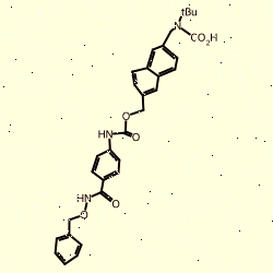 CC(C)(C)N(Cc1ccc2cc(COC(=O)Nc3ccc(C(=O)NOCc4ccccc4)cc3)ccc2c1)C(=O)O